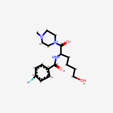 CN1CCN(C(=O)C(CCCCO)NC(=O)c2ccc(F)cc2)CC1